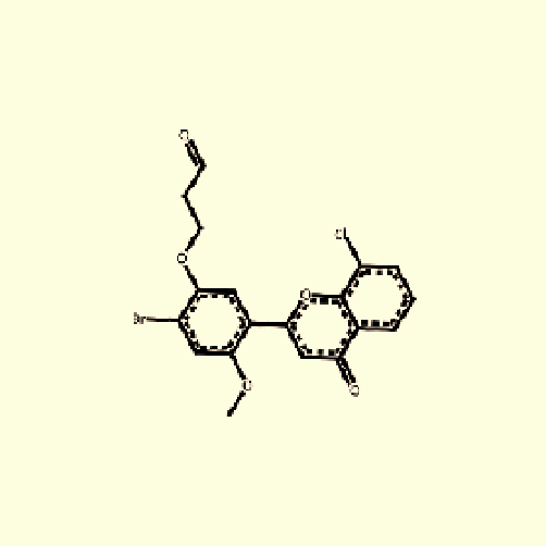 COc1cc(Br)c(OCCC=O)cc1-c1cc(=O)c2cccc(Cl)c2o1